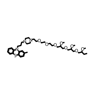 CCC(COCC(COCC(COCCOCCOCCN1CCN(CCCN2c3ccccc3Sc3ccc(C)cc32)CC1)OC)OC)OC